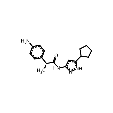 C[C@H](C(=O)Nc1cc(C2CCCC2)[nH]n1)c1ccc(N)cc1